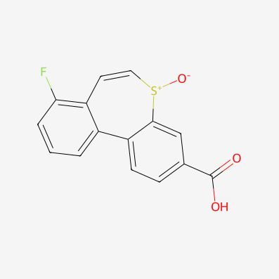 O=C(O)c1ccc2c(c1)[S+]([O-])C=Cc1c(F)cccc1-2